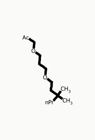 CCCC(C)(C)CCOCCCOCC(C)=O